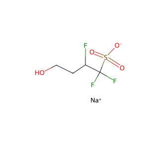 O=S(=O)([O-])C(F)(F)C(F)CCO.[Na+]